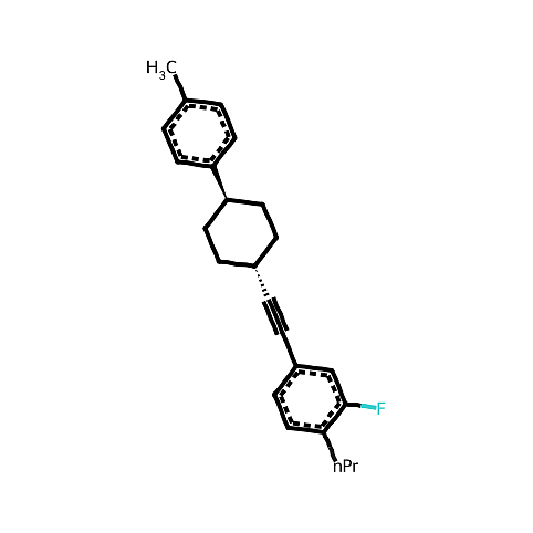 CCCc1ccc(C#C[C@H]2CC[C@H](c3ccc(C)cc3)CC2)cc1F